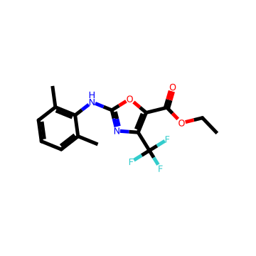 CCOC(=O)c1oc(Nc2c(C)cccc2C)nc1C(F)(F)F